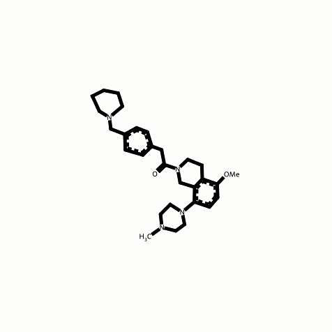 COc1ccc(N2CCN(C)CC2)c2c1CCN(C(=O)Cc1ccc(CN3CCCCC3)cc1)C2